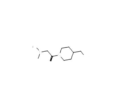 CC(C)N(C)CC(=O)N1CCC(CC(=O)O)CC1